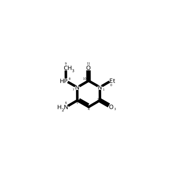 CCn1c(=O)cc(N)n(PC)c1=O